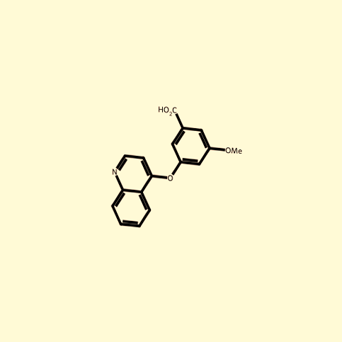 COc1cc(Oc2ccnc3ccccc23)cc(C(=O)O)c1